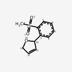 CS(=O)(=O)c1ccccc1C1C=CCO1